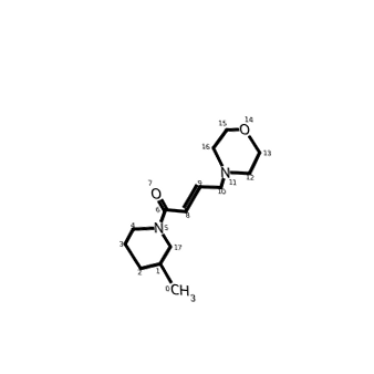 CC1CCCN(C(=O)/C=C/CN2CCOCC2)C1